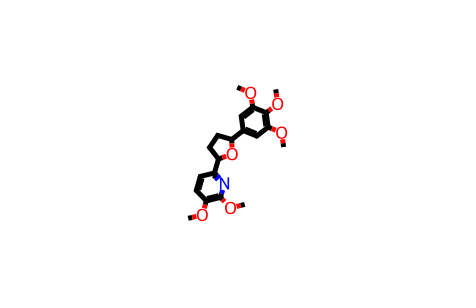 COc1ccc(C2CCC(c3cc(OC)c(OC)c(OC)c3)O2)nc1OC